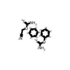 N#CCOC(N)=S.NC(=S)Oc1ccccc1.c1ccccc1